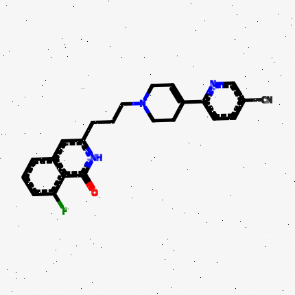 N#Cc1ccc(C2=CCN(CCCc3cc4cccc(F)c4c(=O)[nH]3)CC2)nc1